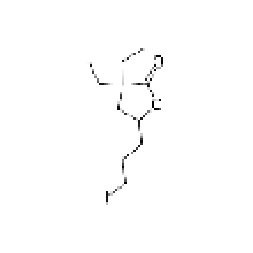 CCC1(CC)CC(CCCI)OC1=O